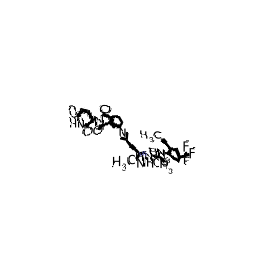 CC#Cc1cc(C(F)(F)F)ccc1NC(=O)C(C)(C)N/C=C(/C#CC1CN(c2ccc3c(c2)C(=O)N(C2CCC(=O)NC2=O)C3=O)C1)C(C)=N